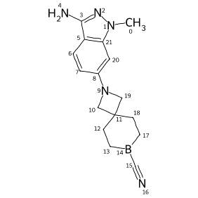 Cn1nc(N)c2ccc(N3CC4(CCB(C#N)CC4)C3)cc21